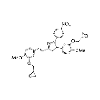 COc1ccc(C=CC2=NN(c3ccc([N+](=O)[O-])cc3)C(c3ccc(OC)c(OCC4CO4)c3)C2)cc1OCC1CO1